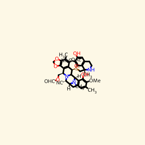 COc1cc2c(cc1O)CCN[C@]2(C)C[S+]([O-])[C@@H]1c2c(OC(C)=O)c(C)c3c(c2[C@H](COC=O)N2C1[C@H]1c4c(cc(C)c(OC)c4O)C[C@H]([C@@H]2C#N)N1C)OCO3